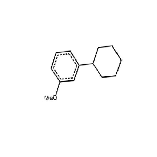 COc1cccc(C2CC[CH]CC2)c1